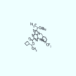 CC(C)COC(C)c1nc2nc(C(=O)OC(C)C3CCC3)nc(N)c2n1Cc1ccc(C(F)(F)F)cc1